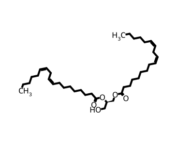 CCCCC/C=C\C/C=C\CCCCCCCC(=O)OC[C@@H](CO)OC(=O)CCCCCCC/C=C\C/C=C\CCCCC